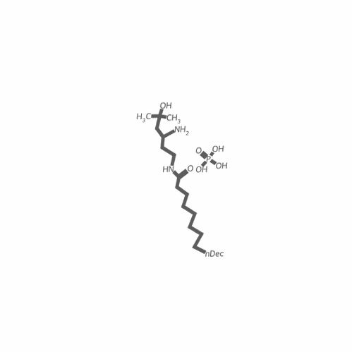 CCCCCCCCCCCCCCCCCC(=O)NCCC(N)CC(C)(C)O.O=P(O)(O)O